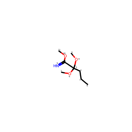 CCCC(OC)(OC)C(=N)OC